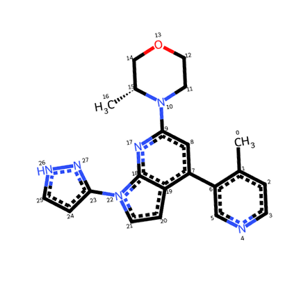 Cc1ccncc1-c1cc(N2CCOC[C@H]2C)nc2c1ccn2-c1cc[nH]n1